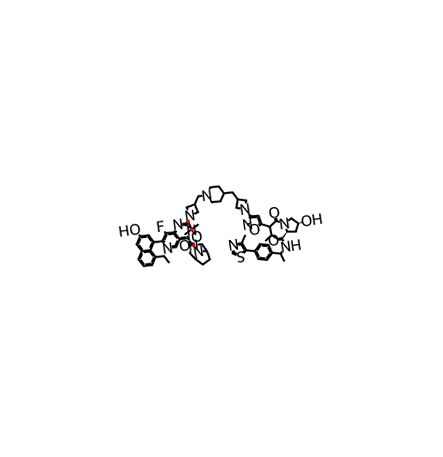 CCc1cccc2cc(O)cc(-c3ncc4c(N5CC6CCC(C5)N6C(=O)OC(C)(C)C)nc(N5CC(CN6CCC(CC7CN(c8cc(C(C(=O)N9C[C@H](O)C[C@H]9C(=O)NC(C)c9ccc(-c%10scnc%10C)cc9)C(C)C)on8)C7)CC6)C5)nc4c3F)c12